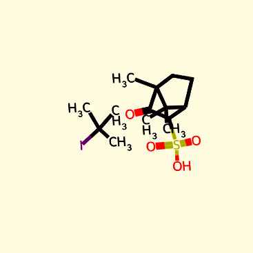 CC(C)(C)I.CC12CCC(C(S(=O)(=O)O)C1=O)C2(C)C